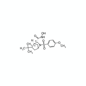 COc1ccc(S(=O)(=O)N2C3CC(C(C)(C)C)[C@H](C3)[C@@H]2C(=O)NO)cc1